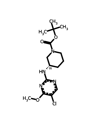 COc1nc(N[C@H]2CCCN(C(=O)OC(C)(C)C)C2)ncc1Cl